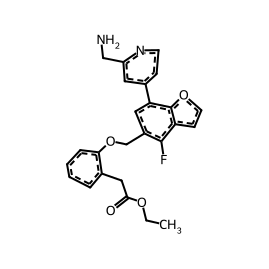 CCOC(=O)Cc1ccccc1OCc1cc(-c2ccnc(CN)c2)c2occc2c1F